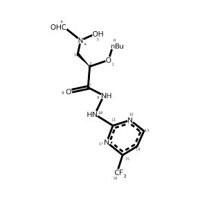 CCCCO[C@H](CN(O)C=O)C(=O)NNc1nccc(C(F)(F)F)n1